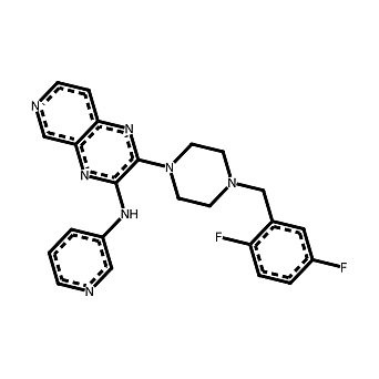 Fc1ccc(F)c(CN2CCN(c3nc4ccncc4nc3Nc3cccnc3)CC2)c1